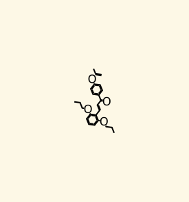 C=C(C)Oc1ccc(C(=O)C=Cc2c(OCCC)cccc2OCCC)cc1